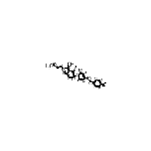 COCCn1nc2ccc(-n3ccc(OCc4ccc(Cl)cc4)cc3=O)cc2c1C